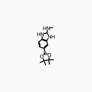 CNC1Nc2ccc(B3OC(C)(C)C(C)(C)O3)cc2N1